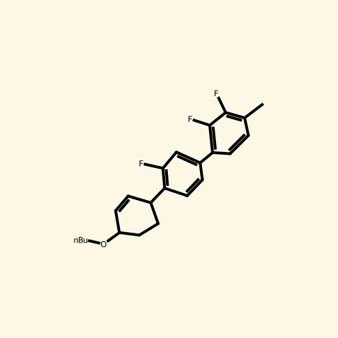 CCCCOC1C=CC(c2ccc(-c3ccc(C)c(F)c3F)cc2F)CC1